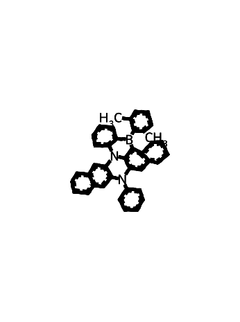 Cc1cccc(C)c1B1c2ccccc2N2c3cc4ccccc4cc3N(c3ccccc3)c3cc4ccccc4c1c32